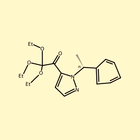 CCOC(OCC)(OCC)C(=O)c1ccnn1[C@H](C)c1ccccc1